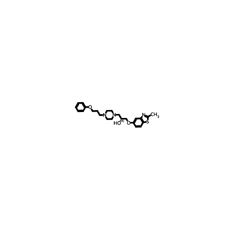 Cc1nc2cc(OC[C@H](O)CN3CCN(CCCOc4ccccc4)CC3)ccc2s1